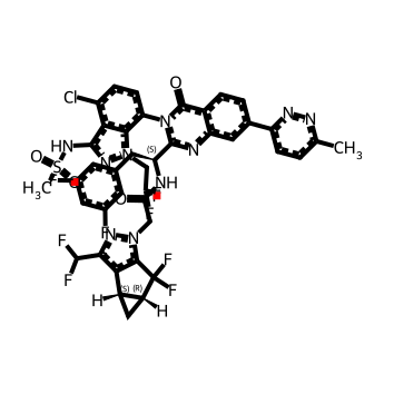 Cc1ccc(-c2ccc3c(=O)n(-c4ccc(Cl)c5c(NS(C)(=O)=O)nn(CC(F)(F)F)c45)c([C@H](Cc4cc(F)cc(F)c4)NC(=O)Cn4nc(C(F)F)c5c4C(F)(F)[C@@H]4C[C@H]54)nc3c2)nn1